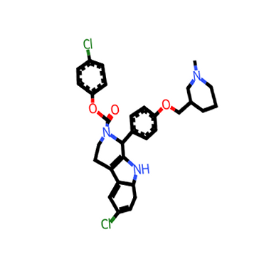 CN1CCCC(COc2ccc(C3C4=C(CCN3C(=O)Oc3ccc(Cl)cc3)C3=CC(Cl)=CCC3N4)cc2)C1